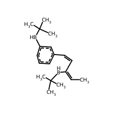 C/C=C(BC(C)(C)C)\C=C/c1cccc(BC(C)(C)C)c1